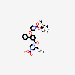 CCC1CN(C(=O)O)CCN1C(=O)c1ccc(OC2CCN(C(=O)OC(C)(C)C)C2)c(C2CCCCC2)c1